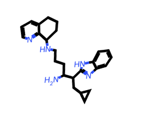 NC(CCCNC1CCCc2cccnc21)C(CC1CC1)c1nc2ccccc2[nH]1